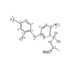 CCP(=O)(OC(C)SC)c1cc(Oc2ccc(C(F)(F)F)cc2Cl)ccc1[N+](=O)[O-]